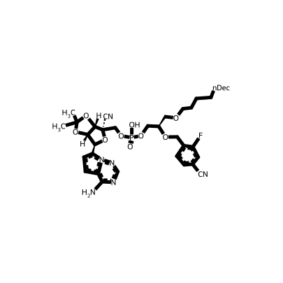 CCCCCCCCCCCCCCOC[C@H](COP(=O)(O)OC[C@@]1(C#N)O[C@@H](c2ccc3c(N)ncnn23)[C@@H]2OC(C)(C)O[C@@H]21)OCc1ccc(C#N)cc1F